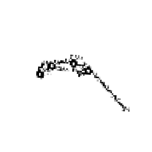 C=C1c2cc(OC)c(OCCCOc3cc4c(cc3OC)C(=O)N3c5ccccc5CC3C=N4)cc2N=C[C@@H]2Cc3cc(OCCOCCOCCOCCOCCS)ccc3N12